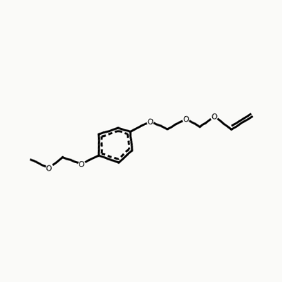 C=COCOCOc1ccc(OCOC)cc1